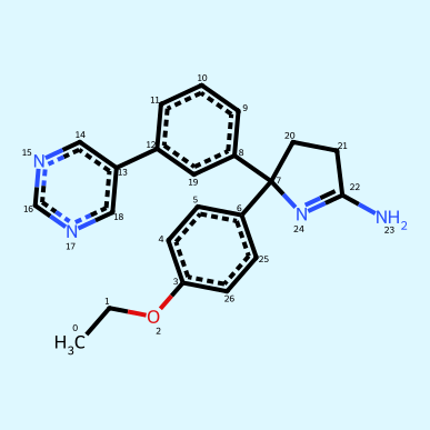 CCOc1ccc(C2(c3cccc(-c4cncnc4)c3)CCC(N)=N2)cc1